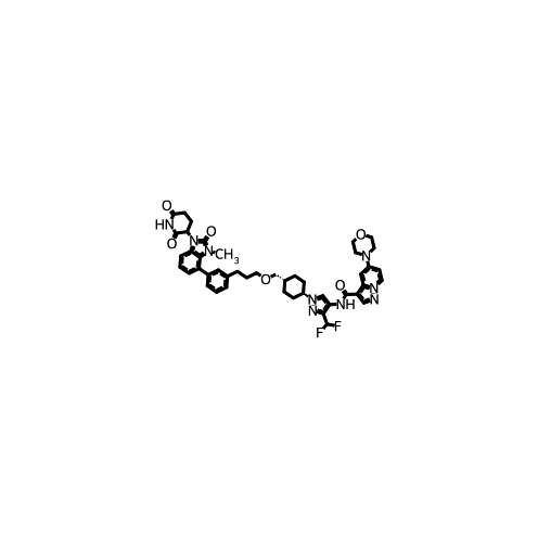 Cn1c(=O)n(C2CCC(=O)NC2=O)c2cccc(-c3cccc(CCCOC[C@H]4CC[C@H](n5cc(NC(=O)c6cnn7ccc(N8CCOCC8)cc67)c(C(F)F)n5)CC4)c3)c21